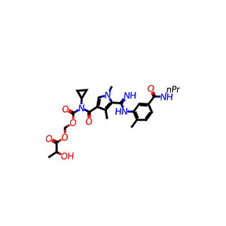 CCCNC(=O)c1ccc(C)c(NC(=N)c2c(C)c(C(=O)N(C(=O)OCOC(=O)C(C)O)C3CC3)cn2C)c1